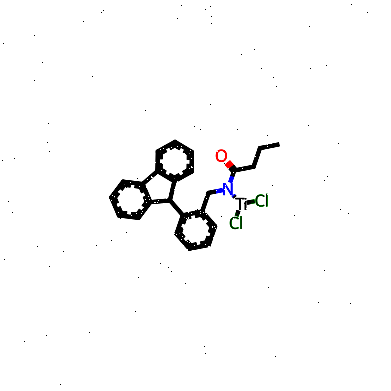 CCCC(=O)[N](Cc1ccccc1C1c2ccccc2-c2ccccc21)[Ti]([Cl])[Cl]